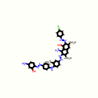 Nc1ccc(/N=N/c2ccc(Nc3ccc(/N=N/c4c(S(=O)(=O)O)cc5cc(S(=O)(=O)O)c(/N=N/c6ccc(Cl)cc6)c(O)c5c4N)cc3S(=O)(=O)O)cc2)c(O)c1